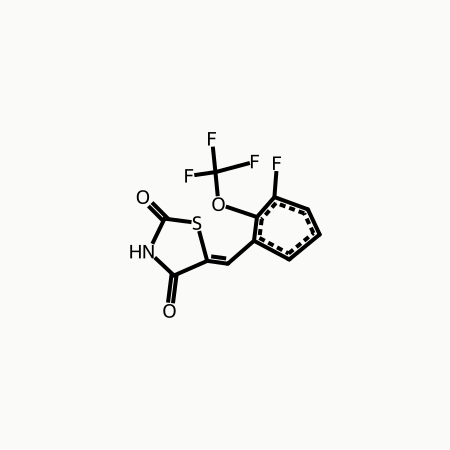 O=C1NC(=O)C(=Cc2cccc(F)c2OC(F)(F)F)S1